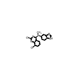 CN(c1ccc2[nH]cnc2c1)c1nc(Cl)nc2c(Cl)cccc12